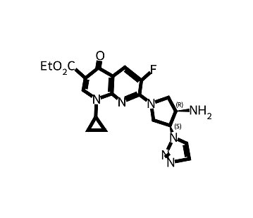 CCOC(=O)c1cn(C2CC2)c2nc(N3C[C@@H](N)[C@@H](n4ccnn4)C3)c(F)cc2c1=O